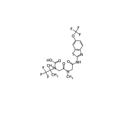 CN(CC(=O)Nc1nc2ccc(OC(F)(F)F)cc2s1)C(=O)CN(C(=O)O)C(C)(C)C(F)(F)F